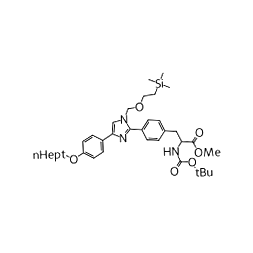 CCCCCCCOc1ccc(-c2cn(COCC[Si](C)(C)C)c(-c3ccc(CC(NC(=O)OC(C)(C)C)C(=O)OC)cc3)n2)cc1